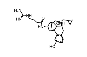 N=C(N)NCCCC(=O)N[C@@H]1CC[C@@]2(O)[C@H]3Cc4ccc(O)cc4[C@@]2(CCCN3CC2CC2)C1